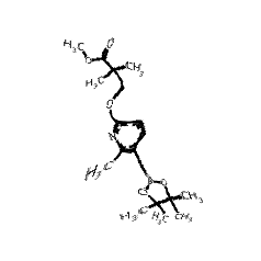 COC(=O)C(C)(C)COc1ccc(B2OC(C)(C)C(C)(C)O2)c(C)n1